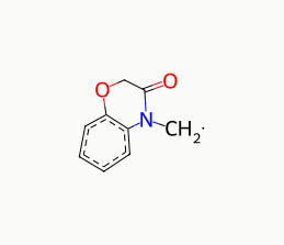 [CH2]N1C(=O)COc2ccccc21